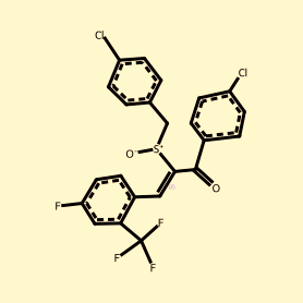 O=C(/C(=C/c1ccc(F)cc1C(F)(F)F)[S+]([O-])Cc1ccc(Cl)cc1)c1ccc(Cl)cc1